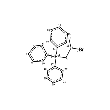 CC(Br)C[PH](c1ccccc1)(c1ccccc1)c1ccccc1